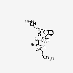 CC[C@H](C)[C@H](NC(=O)CCC(=O)O)C(=O)NCC(=O)N1c2ccccc2C[C@H]1C(=O)NCc1c[nH]nn1